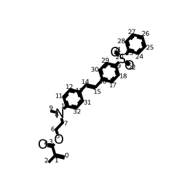 C=C(C)C(=O)OCCN(C)c1ccc(C=Cc2ccc(S(=O)(=O)c3ccccc3)cc2)cc1